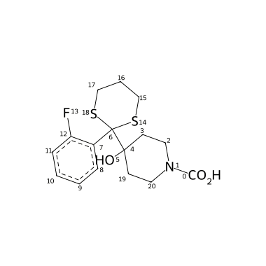 O=C(O)N1CCC(O)(C2(c3ccccc3F)SCCCS2)CC1